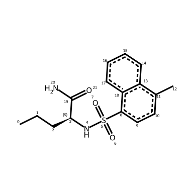 CCC[C@H](NS(=O)(=O)c1ccc(C)c2ccccc12)C(N)=O